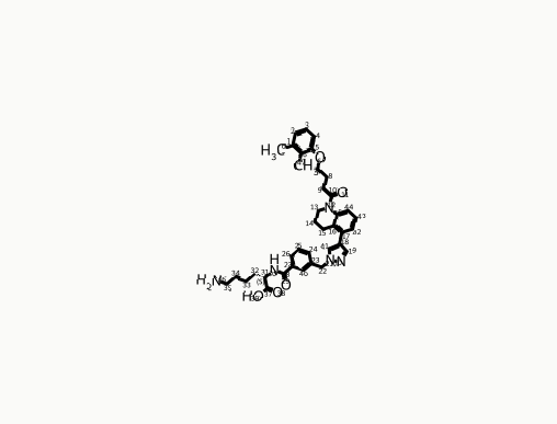 Cc1cccc(OCCCC(=O)N2CCCc3c(-c4cnn(Cc5cccc(C(=O)N[C@@H](CCCCN)C(=O)O)c5)c4)cccc32)c1C